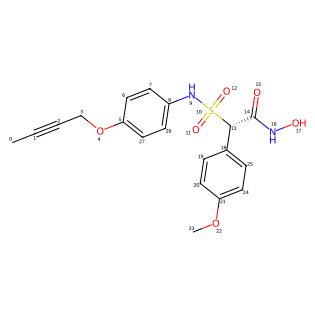 CC#CCOc1ccc(NS(=O)(=O)[C@H](C(=O)NO)c2ccc(OC)cc2)cc1